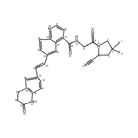 N#CC1CC(F)(F)CN1C(=O)CNC(=O)c1ccnc2ccc(C=Cc3ccc4c(c3)CCC(=O)N4)cc12